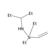 C=C[Si](CC)(CC)NC(CC)CC